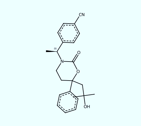 C[C@@H](c1ccc(C#N)cc1)N1CCC(CC(C)(C)O)(c2ccccc2)OC1=O